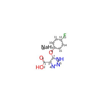 O=C(O)c1nn[nH]c1Oc1ccc(F)cc1.[NaH]